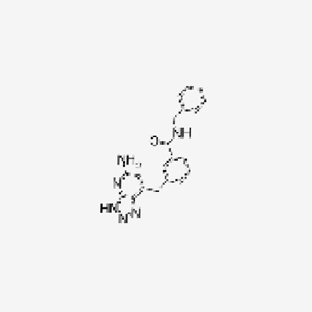 Nc1cc(Cc2cccc(C(=O)NCc3ccccc3)c2)c2nn[nH]c2n1